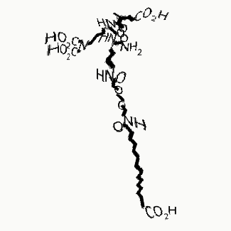 C[C@@H](CCC(=O)O)C(=O)N[C@@H](CCCCN(CC(=O)O)CC(=O)O)C(=O)N[C@@H](CCCCNC(=O)COCCOCCNC(=O)CCCCCCCCCCCCCCC(=O)O)C(N)=O